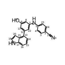 N#Cc1ccc(Nc2cc(O)cc(-c3cccc4[nH]ccc34)c2)cc1